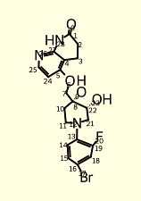 O=C1CCc2c(OC[C@]3(O)CCN(c4ccc(Br)cc4F)C[C@H]3O)ccnc2N1